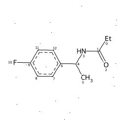 CCC(=O)NC(C)c1ccc(F)cc1